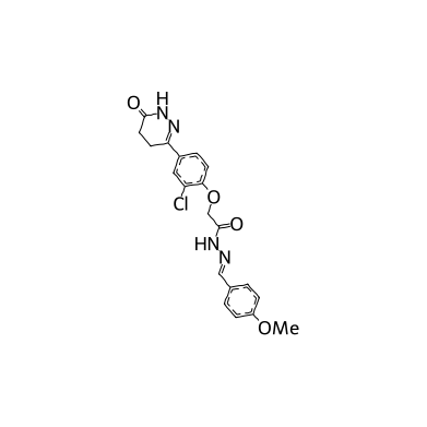 COc1ccc(C=NNC(=O)COc2ccc(C3=NNC(=O)CC3)cc2Cl)cc1